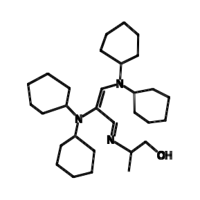 CC(CO)N=CC(=CN(C1CCCCC1)C1CCCCC1)N(C1CCCCC1)C1CCCCC1